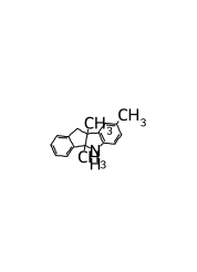 Cc1ccc2c(c1)C1(C)Cc3ccccc3C1(C)N2